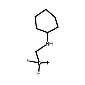 F[B-](F)(F)CNC1CCCCC1